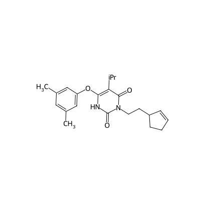 Cc1cc(C)cc(Oc2[nH]c(=O)n(CCC3C=CCC3)c(=O)c2C(C)C)c1